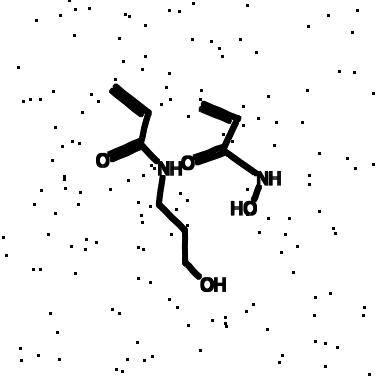 C=CC(=O)NCCCO.C=CC(=O)NO